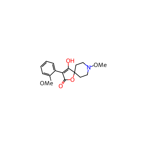 COc1ccccc1C1=C(O)C2(CCN(OC)CC2)OC1=O